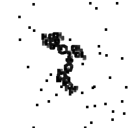 CC(C)[C@@H](C1CCN(C(=O)OC(C)(C)C)CC1)N1CC2(CCN(c3ncnc4sc(CC(F)(F)F)cc34)C2)C1